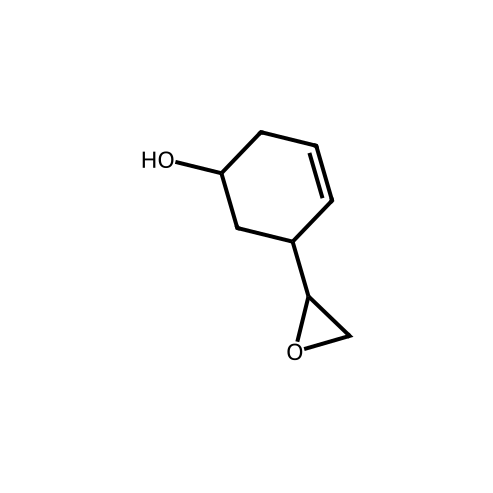 OC1CC=CC(C2CO2)C1